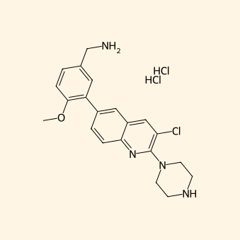 COc1ccc(CN)cc1-c1ccc2nc(N3CCNCC3)c(Cl)cc2c1.Cl.Cl